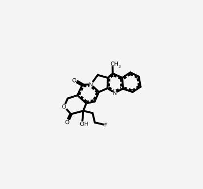 Cc1c2c(nc3ccccc13)-c1cc3c(c(=O)n1C2)COC(=O)C3(O)CCF